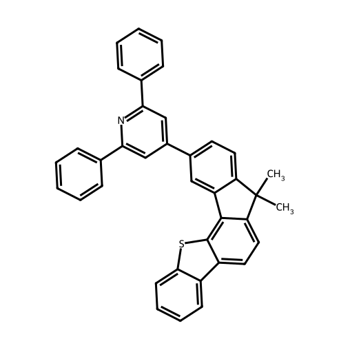 CC1(C)c2ccc(-c3cc(-c4ccccc4)nc(-c4ccccc4)c3)cc2-c2c1ccc1c2sc2ccccc21